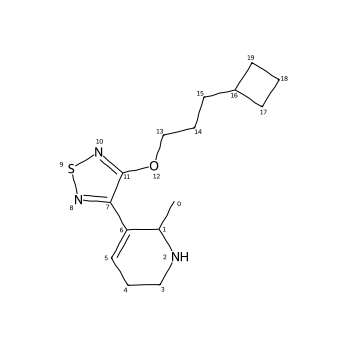 CC1NCCC=C1c1nsnc1OCCCC1CCC1